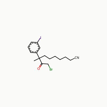 CC(CCCCCCC#N)(C(=O)CBr)c1cccc(I)c1